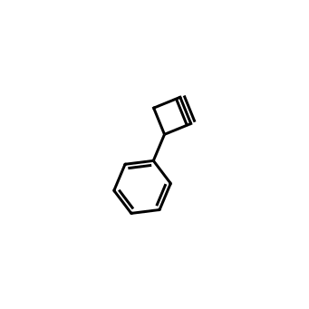 C1#CC(c2ccccc2)C1